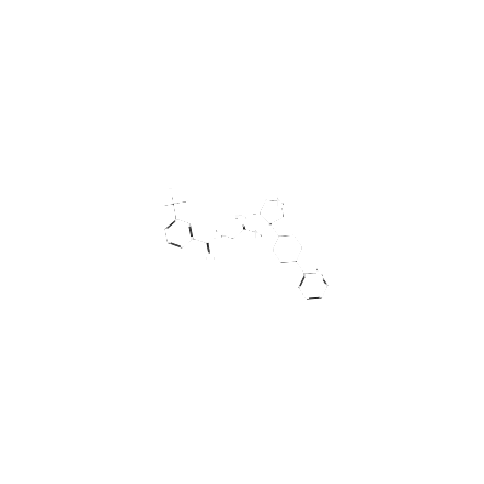 O=C(CNC(=O)c1cccc(C(F)(F)F)c1)N[C@@]1(C2CCC(c3ccccn3)CC2)CNC[C@@H]1O